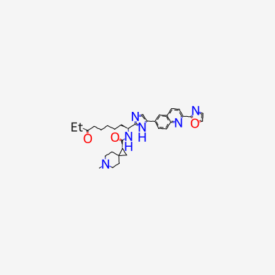 CCC(=O)CCCCC[C@H](NC(=O)[C@H]1CC12CCN(C)CC2)c1ncc(-c2ccc3nc(-c4ncco4)ccc3c2)[nH]1